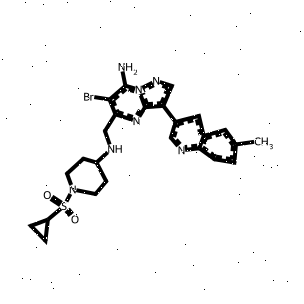 Cc1ccc2ncc(-c3cnn4c(N)c(Br)c(CNC5CCN(S(=O)(=O)C6CC6)CC5)nc34)cc2c1